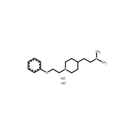 CN(C)CCC1CCN(CCOc2ccccc2)CC1.Cl.Cl